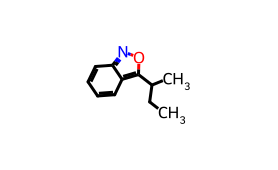 CCC(C)c1onc2ccccc12